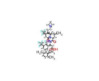 Cc1ccc(C)c(-c2cc([C@H](CC(=O)O)NC(=O)C(CC(C)C)n3cc(CCN4CCC4)c(C(F)(F)F)cc3=O)c(F)c(C(F)(F)F)c2)c1C